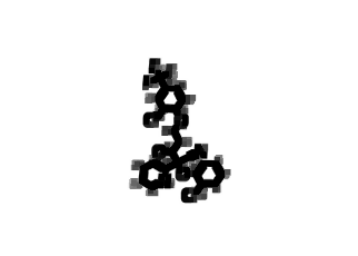 N#CC(Oc1ccccc1Cl)(C(=O)CCOc1ccc(C(F)(F)F)cc1Cl)c1ccccn1